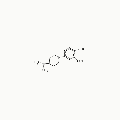 CC(C)COc1cc(N2CCC(N(C)C)CC2)ccc1C=O